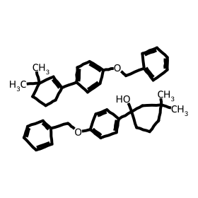 CC1(C)C=C(c2ccc(OCc3ccccc3)cc2)CCC1.CC1(C)CCCC(O)(c2ccc(OCc3ccccc3)cc2)C1